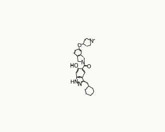 CN1CCC(Oc2ccc3c(c2)CN(C(=O)c2cc4c(CC5CCCCC5)n[nH]c4cc2O)C3)CC1